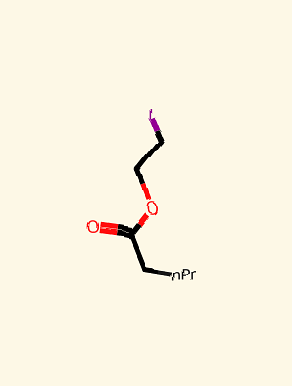 CCCCC(=O)OCCI